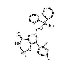 Cc1cc(F)ccc1-c1cc(CO[Si](c2ccccc2)(c2ccccc2)C(C)(C)C)cc2c1O[C@H](C)CNC2=O